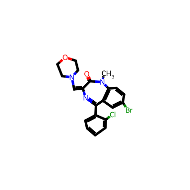 CN1C(=O)C(=CN2CCOCC2)N=C(c2ccccc2Cl)c2cc(Br)ccc21